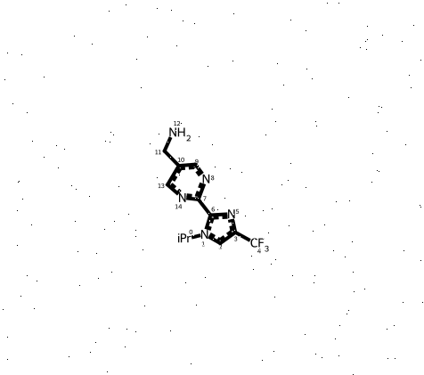 CC(C)n1cc(C(F)(F)F)nc1-c1ncc(CN)cn1